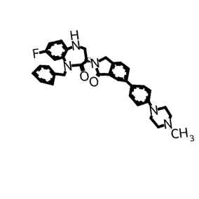 CN1CCN(c2ccc(-c3ccc4c(c3)C(=O)N([C@H]3CNc5ccc(F)cc5N(Cc5ccccc5)C3=O)C4)cc2)CC1